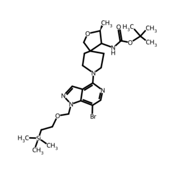 C[C@@H]1OCC2(CCN(c3ncc(Br)c4c3cnn4COCC[Si](C)(C)C)CC2)C1NC(=O)OC(C)(C)C